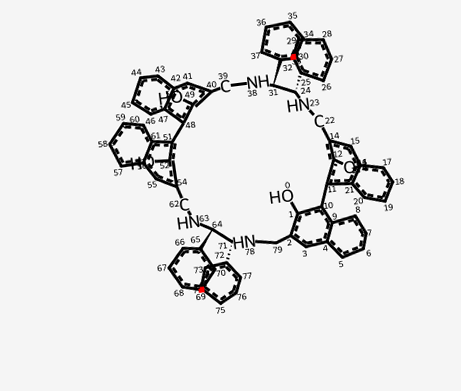 Oc1c2cc3ccccc3c1-c1c(O)c(cc3ccccc13)CN[C@@H](c1ccccc1)[C@H](c1ccccc1)NCc1cc3ccccc3c(c1O)-c1c(O)c(cc3ccccc13)CN[C@H](c1ccccc1)[C@@H](c1ccccc1)NC2